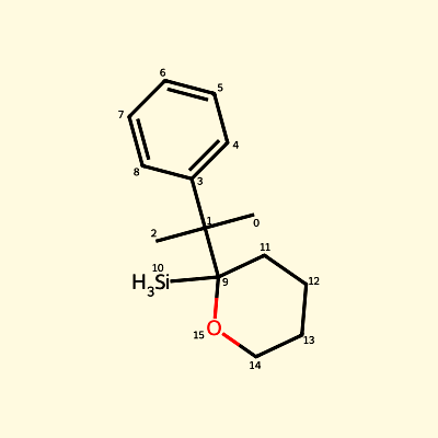 CC(C)(c1ccccc1)C1([SiH3])CCCCO1